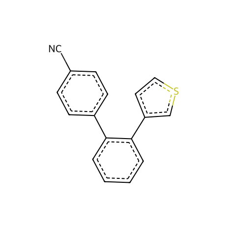 N#Cc1ccc(-c2ccccc2-c2ccsc2)cc1